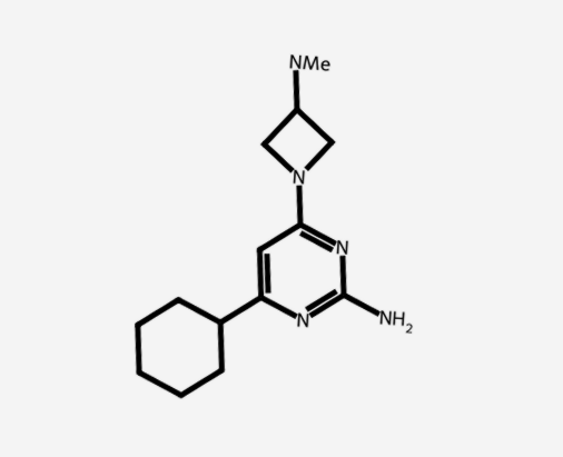 CNC1CN(c2cc(C3CCCCC3)nc(N)n2)C1